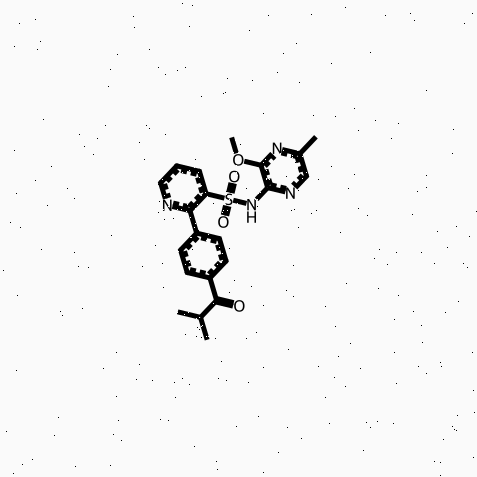 COc1nc(C)cnc1NS(=O)(=O)c1cccnc1-c1ccc(C(=O)C(C)C)cc1